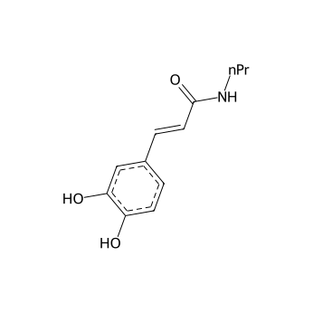 CCCNC(=O)/C=C/c1ccc(O)c(O)c1